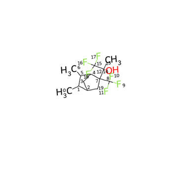 CC1C2CC(C1C)C(C(F)(F)F)(C(C)(O)C(F)(F)F)C2